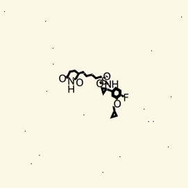 O=C1CCC(CCCCCS(=O)(=O)NC2(c3ccc(F)c(OCC4CC4)c3)CC2)C(=O)N1